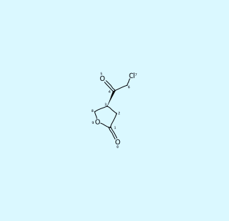 O=C1C[C@H](C(=O)CCl)CO1